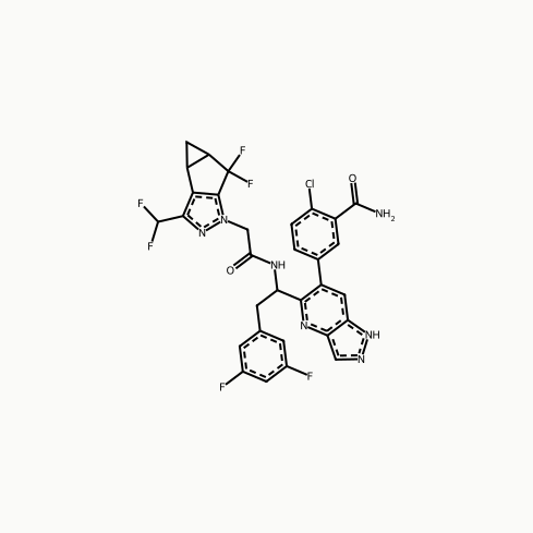 NC(=O)c1cc(-c2cc3[nH]ncc3nc2C(Cc2cc(F)cc(F)c2)NC(=O)Cn2nc(C(F)F)c3c2C(F)(F)C2CC32)ccc1Cl